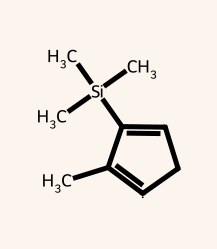 CC1=[C]CC=C1[Si](C)(C)C